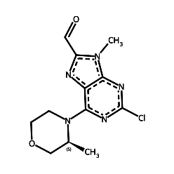 C[C@H]1COCCN1c1nc(Cl)nc2c1nc(C=O)n2C